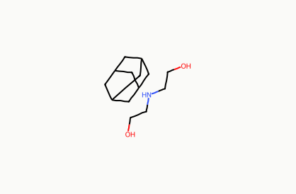 C1C2CC3CC1CC(C2)C3.OCCNCCO